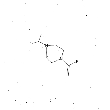 C=C(F)N1CCN(C(C)C)CC1